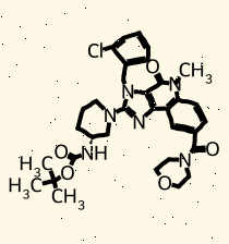 Cn1c(=O)c2c(nc(N3CCC[C@@H](NC(=O)OC(C)(C)C)C3)n2Cc2ccccc2Cl)c2cc(C(=O)N3CCOCC3)ccc21